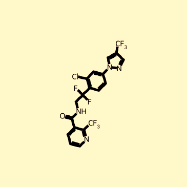 O=C(NCC(F)(F)c1ccc(-n2cc(C(F)(F)F)cn2)cc1Cl)c1cccnc1C(F)(F)F